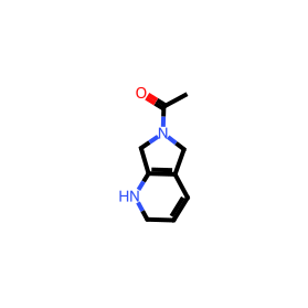 CC(=O)N1CC2=C(C1)NCC=C2